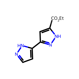 CCOC(=O)c1cc(-c2ccn[nH]2)n[nH]1